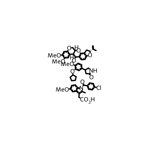 C=C(C)[C@H]1Cc2c(ccc3c2O[C@@H]2COc4cc(OC)c(OC)cc4[C@@H]2C3=O)O1.COc1ccc(C2CNC(=O)C2)cc1OC1CCCC1.COc1ccc2c(c1)c(CC(=O)O)c(C)n2C(=O)c1ccc(Cl)cc1